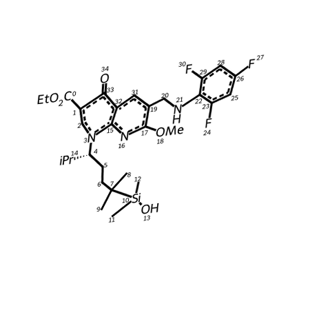 CCOC(=O)c1cn([C@H](CCC(C)(C)[Si](C)(C)O)C(C)C)c2nc(OC)c(CNc3c(F)cc(F)cc3F)cc2c1=O